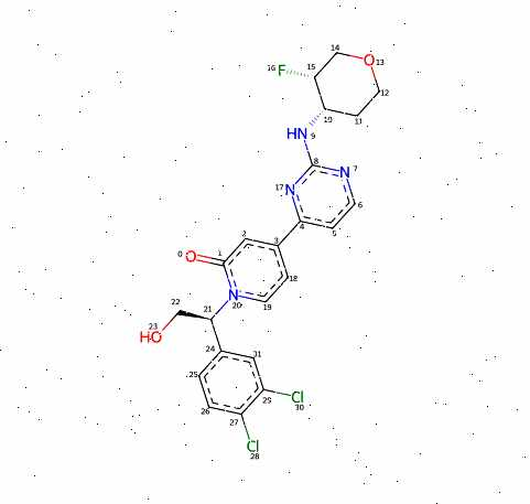 O=c1cc(-c2ccnc(N[C@H]3CCOC[C@H]3F)n2)ccn1[C@H](CO)c1ccc(Cl)c(Cl)c1